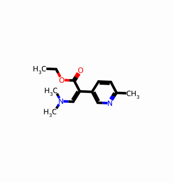 CCOC(=O)/C(=C\N(C)C)c1ccc(C)nc1